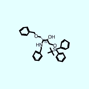 CC(C)(C)[Si](OC[C@@H](O)[C@@H](COCc1ccccc1)NCc1ccccc1)(c1ccccc1)c1ccccc1